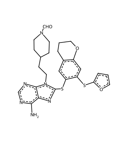 Nc1ncnc2c1nc(Sc1cc3c(cc1Sc1ccco1)OCCC3)n2CCC1CCN(C=O)CC1